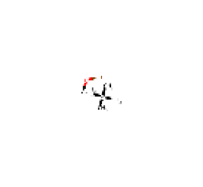 CC(=O)OS.[CH3][Sn]([CH3])([CH3])[CH3]